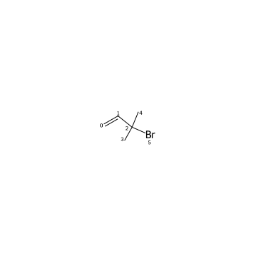 C=CC(C)(C)Br